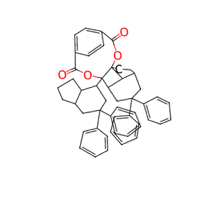 O=C1OC23CCC4CC(c5ccccc5)(c5ccccc5)CC(C42)C3(C2CC(c3ccccc3)(c3ccccc3)CC3CCCC32)OC(=O)c2ccc1cc2